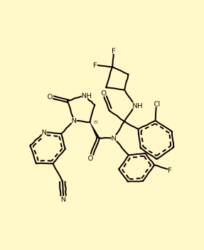 N#Cc1ccnc(N2C(=O)NC[C@H]2C(=O)N(c2cccc(F)c2)C(C=O)(NC2CC(F)(F)C2)c2ccccc2Cl)c1